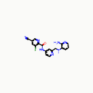 N#Cc1cnc(C(=O)Nc2ccnc(CNc3cccnc3N)c2)c(F)c1